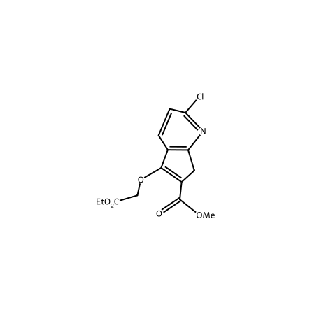 CCOC(=O)COC1=C(C(=O)OC)Cc2nc(Cl)ccc21